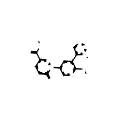 CNc1ncc(-n2nc(C(=O)OC)ccc2=O)cc1-c1cnnn1C